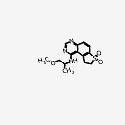 COCC(C)Nc1ncnc2ccc3c(c12)CCS3(=O)=O